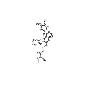 CCC(=O)NCCOc1cc2ncnc(Nc3ccc(F)c(Cl)c3)c2cc1OC1CCOCC1